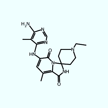 CCN1CCC2(CC1)NC(=O)c1c(C)cc(Nc3ncnc(N)c3C)c(=O)n12